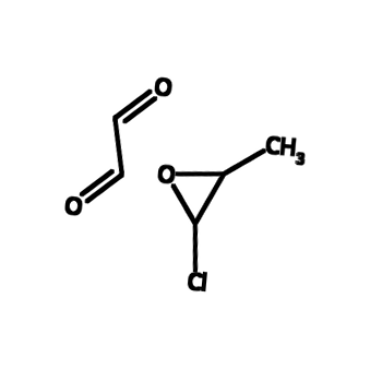 CC1OC1Cl.O=CC=O